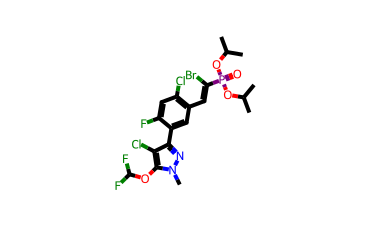 CC(C)OP(=O)(OC(C)C)/C(Br)=C/c1cc(-c2nn(C)c(OC(F)F)c2Cl)c(F)cc1Cl